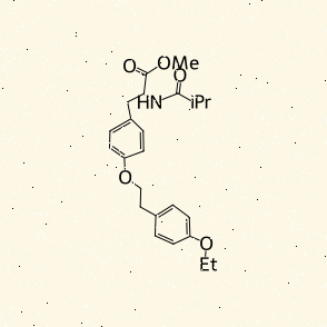 CCOc1ccc(CCOc2ccc(CC(NC(=O)C(C)C)C(=O)OC)cc2)cc1